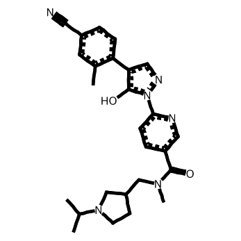 Cc1cc(C#N)ccc1-c1cnn(-c2ccc(C(=O)N(C)CC3CCN(C(C)C)C3)cn2)c1O